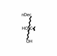 C=C(C)C(=O)O.CCCCCCCCCCCCCCCCCCCCCCO